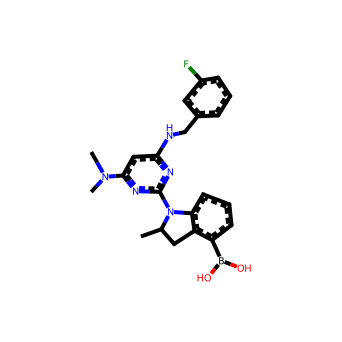 CC1Cc2c(B(O)O)cccc2N1c1nc(NCc2cccc(F)c2)cc(N(C)C)n1